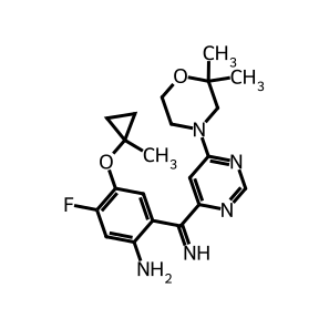 CC1(C)CN(c2cc(C(=N)c3cc(OC4(C)CC4)c(F)cc3N)ncn2)CCO1